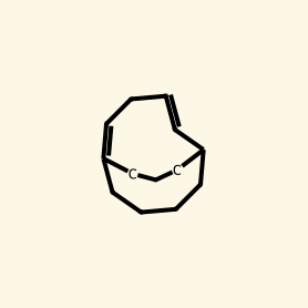 C1=C2/CCCCC(/C=C/C/1)CCC2